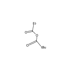 C[CH]C(=O)OC(=O)C(C)(C)C